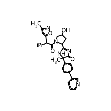 Cc1cc(C(C(=O)N2CC(O)CC2C2=NC(=O)C(C)(c3ccc(-c4cccnc4)cc3)N2)C(C)C)on1